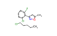 CCCCCCl.Cc1cc(-c2c(F)cccc2Cl)no1